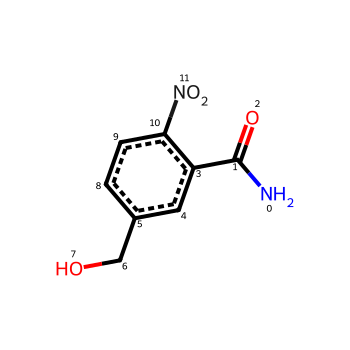 NC(=O)c1cc(CO)ccc1[N+](=O)[O-]